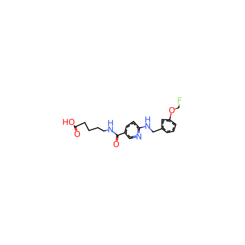 O=C(O)CCCCNC(=O)c1ccc(NCc2cccc(OCF)c2)nc1